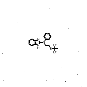 CCC(C)(CC)SCCN(c1ccccc1)c1nc2ccccc2[nH]1